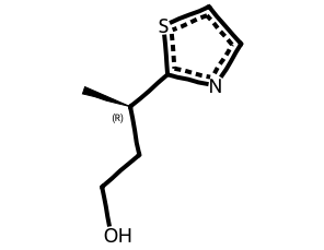 C[C@H](CCO)c1nccs1